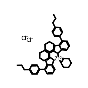 CCCc1ccc(-c2cccc3c2C=C(C2CCCCC2)[CH]3[Zr+2]2([CH]3C(C4CCCCC4)=Cc4c(-c5ccc(CCC)cc5)cccc43)[CH]3CCCC[CH]32)cc1.[Cl-].[Cl-]